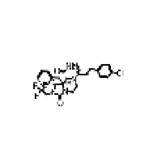 NC(=O)[C@@H]1N(C(=O)[CH]Cc2ccc(Cl)cc2)CCN2C(=O)N(CC(F)(F)F)C(=O)[C@]12Cc1cccnc1